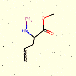 C=CCC(NP)C(=O)OC